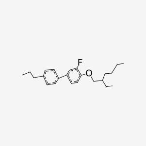 CCCCC(CC)COc1ccc(-c2ccc(CCC)cc2)cc1F